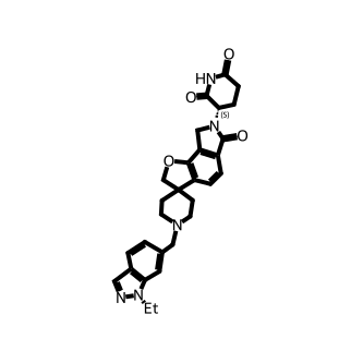 CCn1ncc2ccc(CN3CCC4(CC3)COc3c4ccc4c3CN([C@H]3CCC(=O)NC3=O)C4=O)cc21